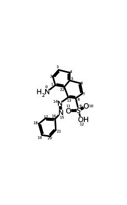 Nc1cccc2ccc(S(=O)(=O)O)c(N=Nc3ccccc3)c12